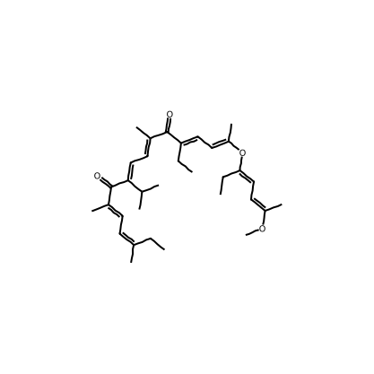 CC/C(C)=C\C=C(/C)C(=O)/C(=C/C=C(\C)C(=O)/C(=C/C=C(\C)O/C(=C/C=C(\C)OC)CC)CC)C(C)C